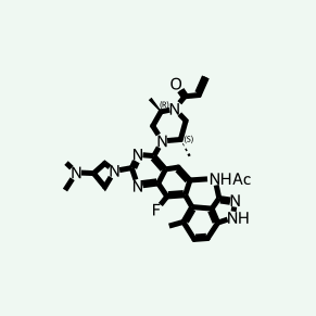 C=CC(=O)N1C[C@H](C)N(c2nc(N3CC(N(C)C)C3)nc3c(F)c(-c4c(C)ccc5[nH]nc(NC(C)=O)c45)c(C)cc23)C[C@H]1C